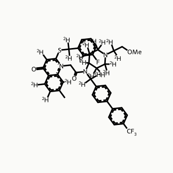 [2H]c1c(C)c([2H])c2c(c1[2H])c(=O)c([2H])c(SC([2H])([2H])c1cccc(F)c1F)n2CC(=O)N(C([2H])([2H])c1ccc(-c2ccc(C(F)(F)F)cc2)cc1)C1([2H])C([2H])([2H])C([2H])([2H])N(C([2H])([2H])COC)C([2H])([2H])C1([2H])[2H]